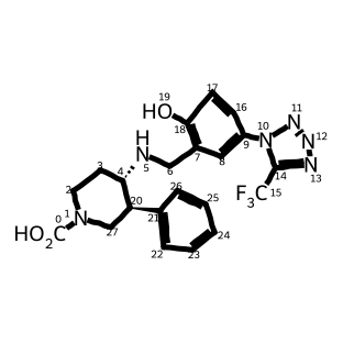 O=C(O)N1CC[C@H](NCc2cc(-n3nnnc3C(F)(F)F)ccc2O)[C@@H](c2ccccc2)C1